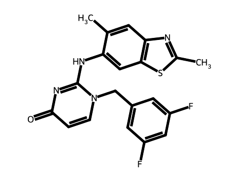 Cc1nc2cc(C)c(Nc3nc(=O)ccn3Cc3cc(F)cc(F)c3)cc2s1